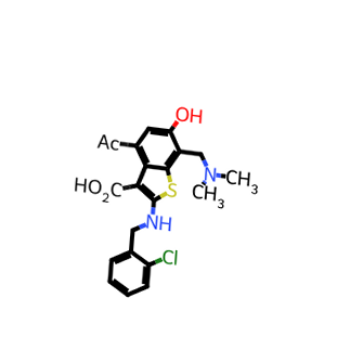 CC(=O)c1cc(O)c(CN(C)C)c2sc(NCc3ccccc3Cl)c(C(=O)O)c12